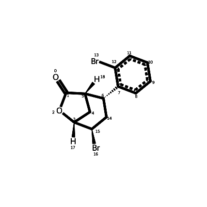 O=C1O[C@@H]2C[C@H]1[C@H](c1ccccc1Br)C[C@H]2Br